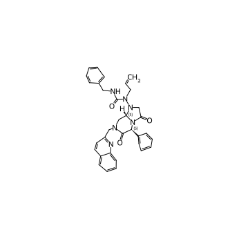 C=CCN(C(=O)NCc1ccccc1)N1CC(=O)N2[C@@H](c3ccccc3)C(=O)N(Cc3ccc4ccccc4n3)C[C@@H]21